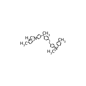 CCN(Cc1ccc(C)cc1)c1ccc(CCc2ccc(C(C)c3ccc(N(CC)Cc4ccc(C)cc4)cc3)cc2)cc1